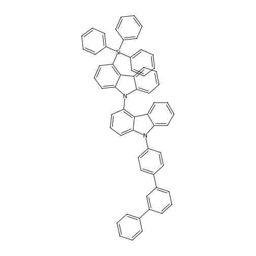 c1ccc(-c2cccc(-c3ccc(-n4c5ccccc5c5c(-n6c7ccccc7c7c([Si](c8ccccc8)(c8ccccc8)c8ccccc8)cccc76)cccc54)cc3)c2)cc1